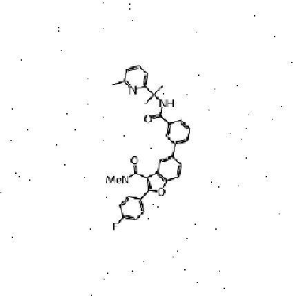 CNC(=O)c1c(-c2ccc(F)cc2)oc2ccc(-c3cccc(C(=O)NC(C)(C)c4cccc(C)n4)c3)cc12